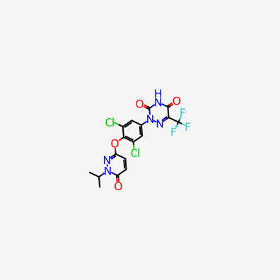 CC(C)n1nc(Oc2c(Cl)cc(-n3nc(C(F)(F)F)c(=O)[nH]c3=O)cc2Cl)ccc1=O